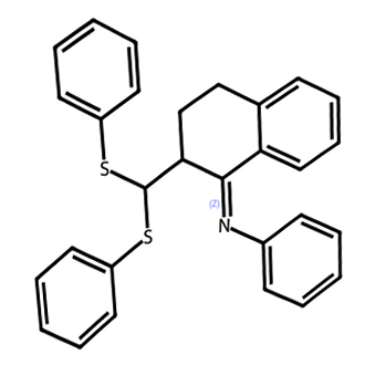 c1ccc(/N=C2\c3ccccc3CCC2C(Sc2ccccc2)Sc2ccccc2)cc1